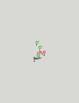 O.[Cl-].[Cl-].[Cl-].[Sm+3]